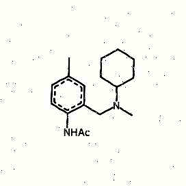 CC(=O)Nc1ccc(C)cc1CN(C)C1CCCCC1